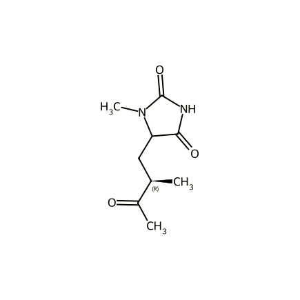 CC(=O)[C@H](C)CC1C(=O)NC(=O)N1C